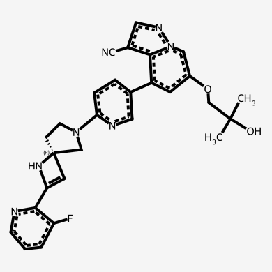 CC(C)(O)COc1cc(-c2ccc(N3CC[C@@]4(C=C(c5ncccc5F)N4)C3)nc2)c2c(C#N)cnn2c1